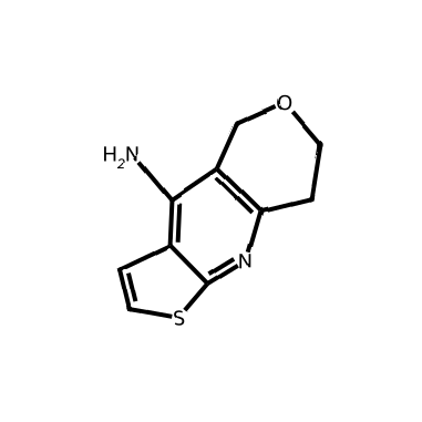 Nc1c2c(nc3sccc13)CCOC2